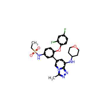 CCS(=O)(=O)Nc1ccc(Oc2ccc(F)cc2F)c(-c2cc(NC3CCOCC3)c3nnc(C)n3c2)c1